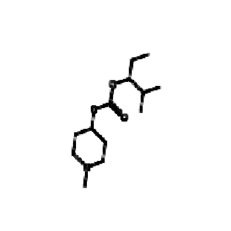 CCC(OC(=O)OC1CCN(C)CC1)C(C)C